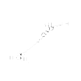 C=C(C)C(=O)OCCCCCCCCCCCCc1ccc2cc(-c3ccc(CCCCC)cc3OC)oc2c1